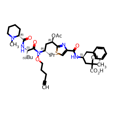 C#CCCCON(C(=O)[C@@H](NC(=O)[C@H]1CCCCN1C)[C@@H](C)CC)[C@H](C[C@@H](OC(C)=O)c1nc(C(=O)N[C@@H](Cc2ccccc2)CC(C)(C)C(=O)O)cs1)C(C)C